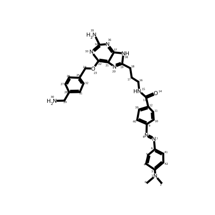 CN(C)c1ccc(/N=N/c2ccc(C(=O)NCCCc3nc4c(OCc5ccc(CN)cc5)nc(N)nc4[nH]3)cc2)cc1